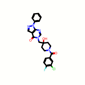 O=C(c1ccc(F)c(Cl)c1)N1CCC(O)(Cn2cnc3c(cnn3-c3ccccc3)c2=O)CC1